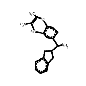 CC1=C(N)Nc2cc(C(N)C3Cc4ccccc4C3)ccc2O1